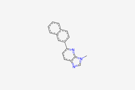 Cn1cnc2ccc(-c3ccc4ccccc4c3)nc21